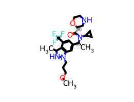 COCCCN1NC(C)c2c1cc([C@@H](C)N(C(=O)[C@H]1CNCCO1)C1CC1)cc2C(F)(F)F